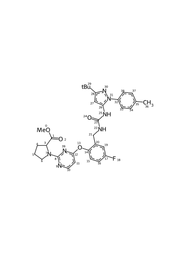 COC(=O)C1CCCN1c1nccc(Oc2ccc(F)cc2CNC(=O)Nc2cc(C(C)(C)C)nn2-c2ccc(C)cc2)n1